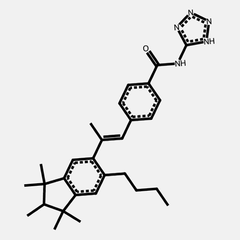 CCCCc1cc2c(cc1C(C)=Cc1ccc(C(=O)Nc3nnn[nH]3)cc1)C(C)(C)C(C)C2(C)C